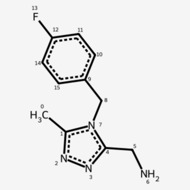 Cc1nnc(CN)n1Cc1ccc(F)cc1